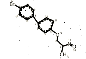 CC(COc1ccc(-c2ccc(Br)cc2)cc1)N=O